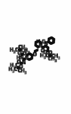 CN(C(CC(=O)OC(C)(C)C)C(=O)N1CCCC[C@H]1CCOC1CCN(C(=NC(=O)OC(C)(C)C)NC(=O)OC(C)(C)C)CC1)[C@@H]1CC=CCC1